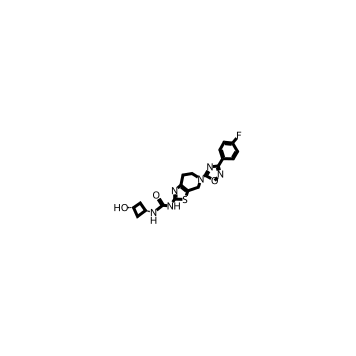 O=C(Nc1nc2c(s1)CN(c1nc(-c3ccc(F)cc3)no1)CC2)N[C@H]1C[C@@H](O)C1